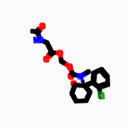 CC(=O)NCC(=O)OCOC(=O)N(C)[C@]1(c2ccccc2Cl)CCCCC1=O